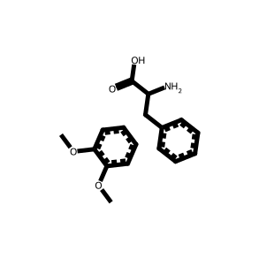 COc1ccccc1OC.NC(Cc1ccccc1)C(=O)O